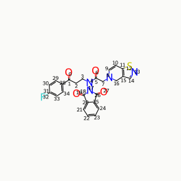 O=C(CCN(C(=O)CN1C=Cc2sncc2C1)N1C(=O)c2ccccc2C1=O)c1ccc(F)cc1